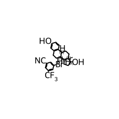 C[C@]12CC[C@@H]3c4ccc(O)cc4CC[C@H]3[C@@H]1CC[C@@H]2O.N#Cc1cc(Br)cc(C(F)(F)F)c1